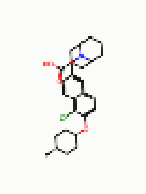 C[C@H]1CC[C@@H](Oc2ccc3cc(CN4C5CCCC4CC(C(=O)O)C5)ccc3c2Cl)CC1